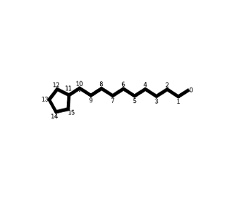 CCCCCCCCCC[CH]C1CCCC1